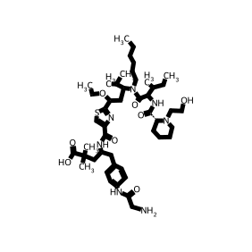 CCCCCCN(C(=O)C(NC(=O)[C@H]1CCCCN1CCO)C(C)CC)C(CC(OCC)c1nc(C(=O)NC(Cc2ccc(NC(=O)CN)cc2)CC(C)(C)C(=O)O)cs1)C(C)C